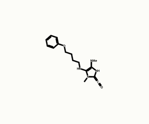 CNC1=C(NCCCCOc2ccccc2)N(C)C(=C=O)N1